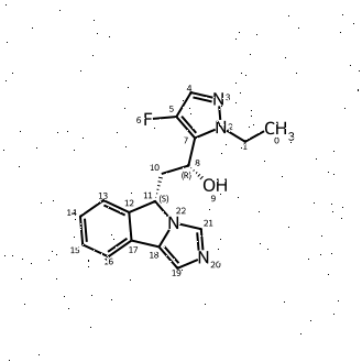 CCn1ncc(F)c1[C@H](O)C[C@H]1c2ccccc2-c2cncn21